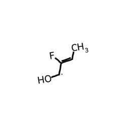 CC=C(F)[CH]O